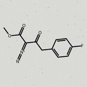 COC(=O)C(=[N+]=[N-])C(=O)Cc1ccc(F)cc1